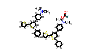 CN(C)c1ccc(-c2cc(-c3cccs3)s[c+](-c3ccccc3)c2)cc1.CN(C)c1ccc(-c2cc(-c3cccs3)s[c+](-c3ccccc3)c2)cc1.[O-]B([O-])F